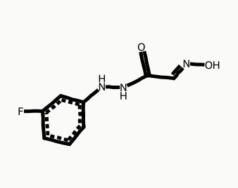 O=C(/C=N/O)NNc1cccc(F)c1